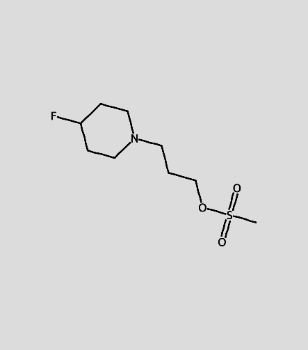 CS(=O)(=O)OCCCN1CCC(F)CC1